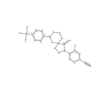 Cc1cc(C#N)ccc1N1CCC2(CCCN(c3ccc(C(F)(F)F)cn3)C2)C1=O